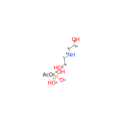 CC(=O)OP(=O)(O)O.OCCNCCO